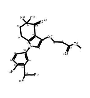 COC(=O)CCSc1cn(-c2ccc(F)c(C(F)F)c2)c2c1C(=O)C(F)(F)CC2